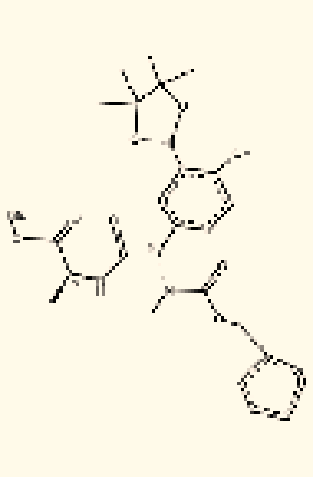 C[C@H](NC(=O)[C@H](c1ccc(O)c(B2OC(C)(C)C(C)(C)O2)c1)N(C)C(=O)OCc1ccccc1)C(=O)OC(C)(C)C